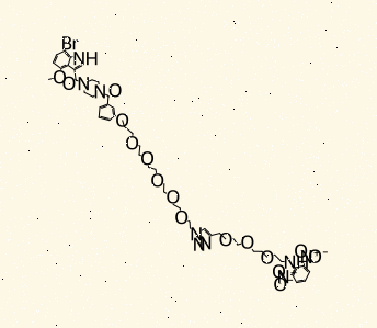 COc1ccc(Br)c2[nH]cc(C(=O)N3CCN(C(=O)c4cccc(OCCOCCOCCOCCOCCOCCn5cc(COCCOCCOCCNc6c([N+](=O)[O-])cccc6[N+](=O)[O-])nn5)c4)CC3)c12